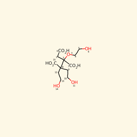 O=C(O)CC(OCCO)(C(=O)O)C(CCO)(CCO)C(=O)O